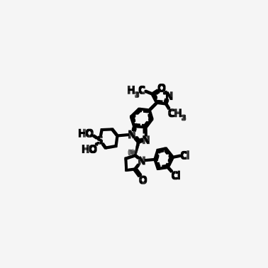 Cc1noc(C)c1-c1ccc2c(c1)nc([C@@H]1CCC(=O)N1c1ccc(Cl)c(Cl)c1)n2C1CCS(O)(O)CC1